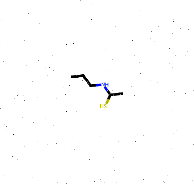 CCCNC(C)S